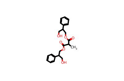 CC(C(=O)OCC(CO)c1ccccc1)C(=O)OCC(CO)c1ccccc1